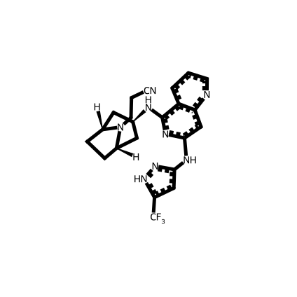 N#CCCN1[C@@H]2CC[C@H]1C[C@H](Nc1nc(Nc3cc(C(F)(F)F)[nH]n3)cc3ncccc13)C2